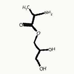 CC(N)C(=O)OCC(O)CO